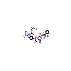 COCCC(=O)N1CC(C)(C)Oc2ccc(N(C(=O)[C@H]3CNC[C@@H](C(=O)NC(C)(C)c4ccccc4)C3)C3CC3)cc21